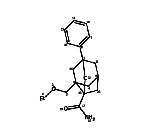 CCOCC12CC3CC(c4ccccc4)(C1)CC2(C(N)=O)C3